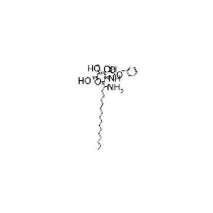 CCCCCCCCCCCCCCCC(N)[C@@H]1O[C@H](CO)[C@@H](O)[C@H](O)[C@H]1NC(=O)OCc1ccccc1